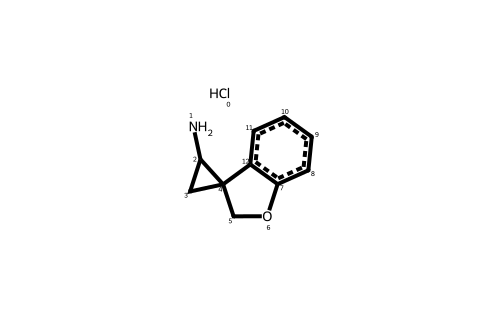 Cl.NC1CC12COc1ccccc12